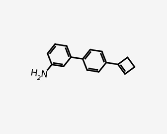 Nc1cccc(-c2ccc(C3=CCC3)cc2)c1